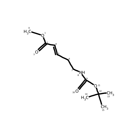 COC(=O)C=CCCNC(=O)OC(C)(C)C